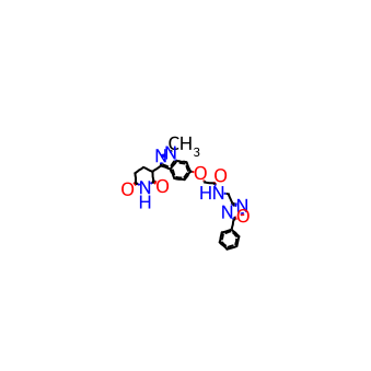 Cn1nc(C2CCC(=O)NC2=O)c2ccc(OCC(=O)NCc3noc(-c4ccccc4)n3)cc21